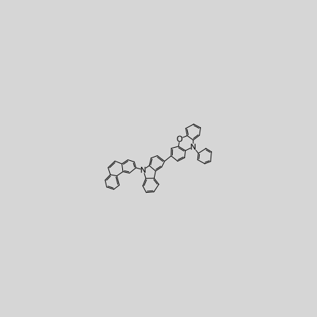 c1ccc(N2c3ccccc3Oc3cc(-c4ccc5c(c4)c4ccccc4n5-c4ccc5ccc6ccccc6c5c4)ccc32)cc1